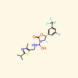 Cc1nc(C(C)C)sc1CNC(O)N1C(=O)O[C@H](c2cc(F)cc(C(F)(F)F)c2)[C@@H]1C